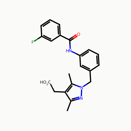 Cc1nn(Cc2cccc(NC(=O)c3cccc(F)c3)c2)c(C)c1CC(=O)O